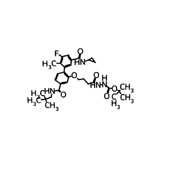 Cc1c(F)cc(C(=O)NC2CC2)cc1-c1ccc(C(=O)NCC(C)(C)C)cc1OCCCC(=O)NNC(=O)OC(C)(C)C